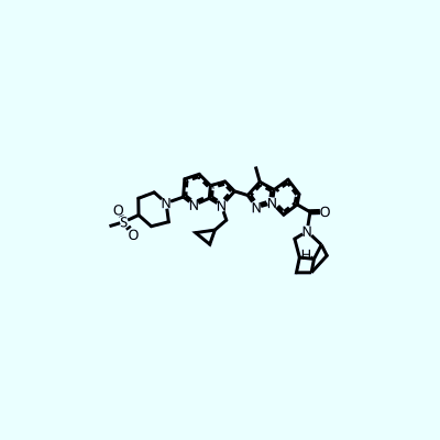 Cc1c(-c2cc3ccc(N4CCC(S(C)(=O)=O)CC4)nc3n2CC2CC2)nn2cc(C(=O)N3CC4CC5CC3[C@H]54)ccc12